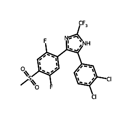 CS(=O)(=O)c1cc(F)c(-c2nc(C(F)(F)F)[nH]c2-c2ccc(Cl)c(Cl)c2)cc1F